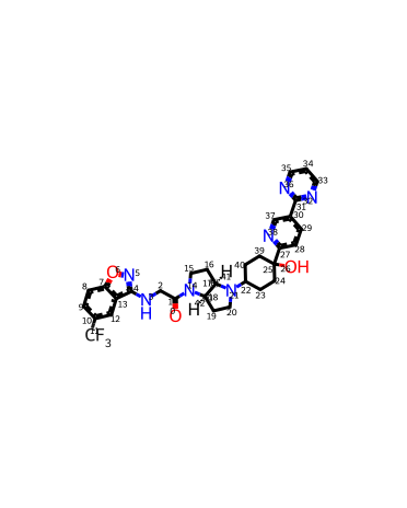 O=C(CNc1noc2ccc(C(F)(F)F)cc12)N1CC[C@@H]2[C@H]1CCN2C1CCC(O)(c2ccc(-c3ncccn3)cn2)CC1